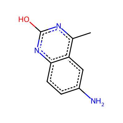 Cc1nc(O)nc2ccc(N)cc12